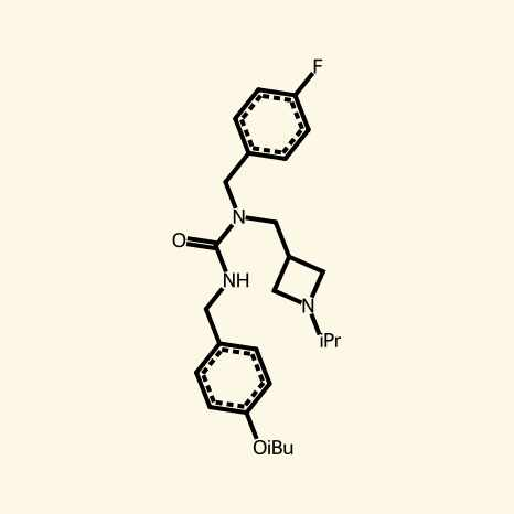 CC(C)COc1ccc(CNC(=O)N(Cc2ccc(F)cc2)CC2CN(C(C)C)C2)cc1